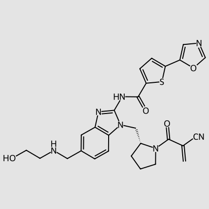 C=C(C#N)C(=O)N1CCC[C@@H]1Cn1c(NC(=O)c2ccc(-c3cnco3)s2)nc2cc(CNCCO)ccc21